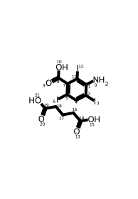 Nc1c(I)cc(I)c(C(=O)O)c1I.O=C(O)CCCC(=O)O